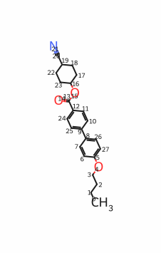 CCCCOc1ccc(-c2ccc(C(=O)OC3CCC(C#N)CC3)cc2)cc1